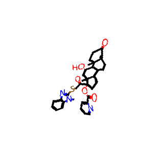 Cn1c(SCC(=O)[C@@]2(OC(=O)c3ccccn3)CCC3C4CCC5=CC(=O)CCC5(C)C4[C@@H](O)CC32C)nc2ccccc21